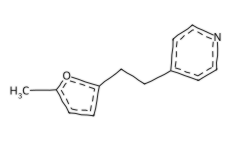 Cc1ccc(CCc2ccncc2)o1